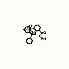 CC(C)(C)c1cccc(C(=O)OO)c1C=C(c1ccccc1)c1ccccc1